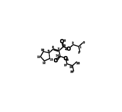 CC(C)COC(=O)C(=CC1CCCC1)C(=O)OCC(C)C